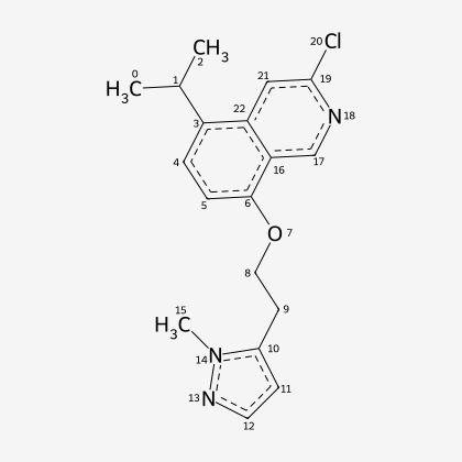 CC(C)c1ccc(OCCc2ccnn2C)c2cnc(Cl)cc12